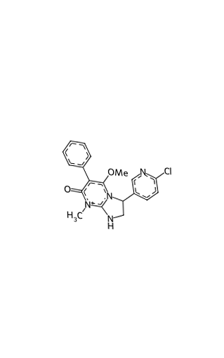 COc1c(-c2ccccc2)c(=O)[n+](C)c2n1C(c1ccc(Cl)nc1)CN2